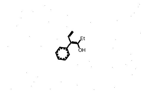 C=C/C(=C(/O)CC)c1ccccc1